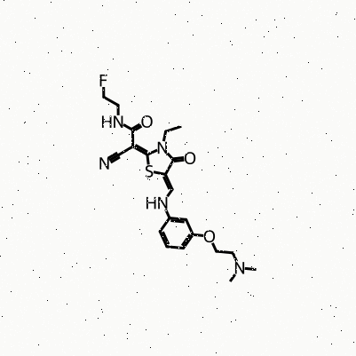 CCn1c(=C(C#N)C(=O)NCCF)sc(=CNc2cccc(OCCN(C)C)c2)c1=O